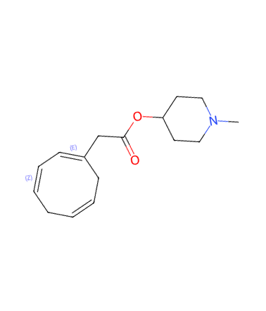 CN1CCC(OC(=O)C/C2=C/C=C\CC=CC2)CC1